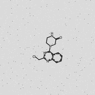 O=C1CN(c2nc(CCl)nc3ccccc23)CCN1